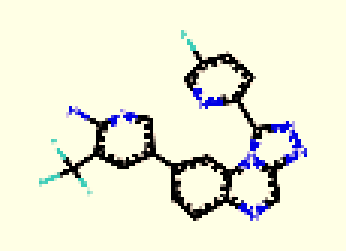 Nc1ncc(-c2ccc3ncc4nnc(-c5ccc(F)cn5)n4c3c2)cc1C(F)(F)F